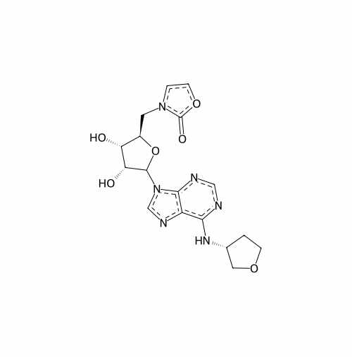 O=c1occn1C[C@H]1OC(n2cnc3c(N[C@@H]4CCOC4)ncnc32)[C@H](O)[C@@H]1O